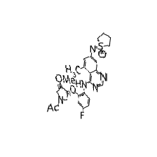 CO[C@@H]1CN(C(C)=O)C[C@H]1Oc1cc(F)ccc1Nc1ncnc2cc(N=S3(=O)CCCC3)cc(C)c12